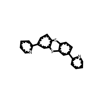 c1ccc(-c2ccc3c(c2)Sc2cc(-c4ccccn4)ccc2S3)nc1